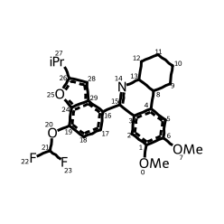 COc1cc2c(cc1OC)C1CCCCC1N=C2c1ccc(OC(F)F)c2oc(C(C)C)cc12